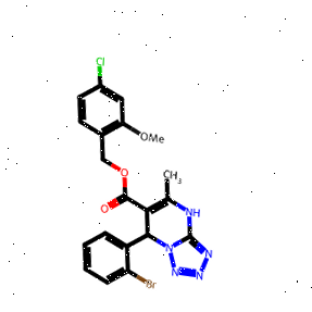 COc1cc(Cl)ccc1COC(=O)C1=C(C)Nc2nnnn2C1c1ccccc1Br